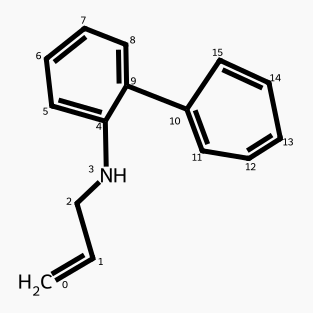 C=CCNc1ccccc1-c1ccccc1